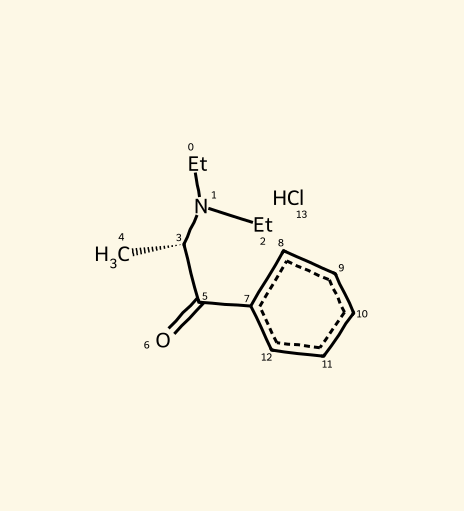 CCN(CC)[C@@H](C)C(=O)c1ccccc1.Cl